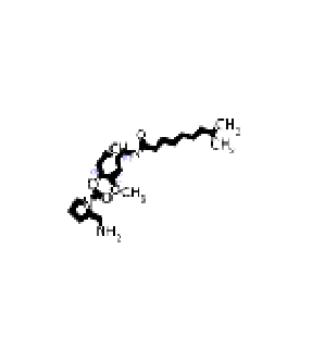 C#C/C=C(OC(=O)N1CCCC1CN)\C(=C/C/C=N/C(=O)CCCCCCC(C)C)OC